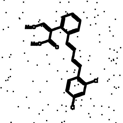 COC=C(C(=O)OC)c1ccccc1C=CC=Cc1ccc(Cl)cc1Cl